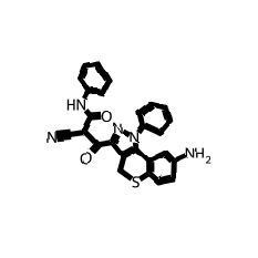 N#CC(C(=O)Nc1ccccc1)C(=O)c1nn(-c2ccccc2)c2c1CSc1ccc(N)cc1-2